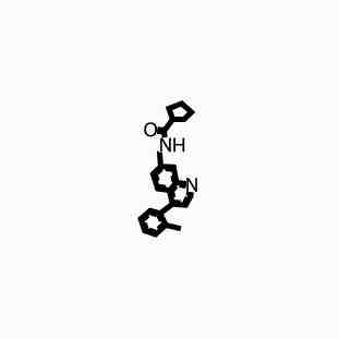 Cc1ccccc1-c1ccnc2cc(CNC(=O)C3CCCC3)ccc12